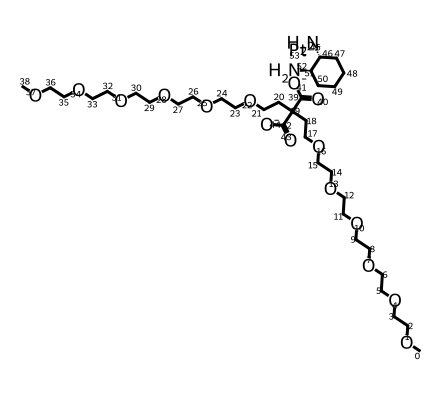 COCCOCCOCCOCCOCCOCCC(CCOCCOCCOCCOCCOCCOC)(C(=O)[O-])C(=O)[O-].N[C@@H]1CCCC[C@H]1N.[Pt+2]